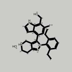 CCc1cccc(CC)c1-n1nc2c(c1-c1cc(F)c(CO)c3[nH]ccc13)CNCC2.Cl